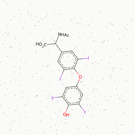 CC(=O)NC(C(=O)O)c1cc(I)c(Oc2cc(I)c(O)c(I)c2)c(I)c1